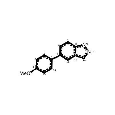 COc1ccc(-c2ccc3nncn3c2)cc1